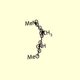 CNC(=O)COCCCOCCOCN(C)C(=O)COCCCCCOCCNC(=O)CCOCCCCOC